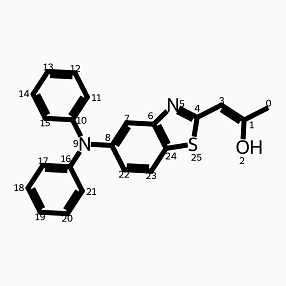 C/C(O)=C/c1nc2cc(N(c3ccccc3)c3ccccc3)ccc2s1